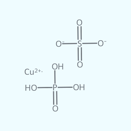 O=P(O)(O)O.O=S(=O)([O-])[O-].[Cu+2]